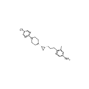 Cc1cc(N)cnc1CCC[C@@H]1C[C@@H]1C1CCN(c2ncc(Cl)cn2)CC1